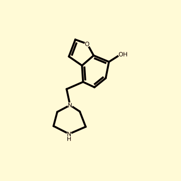 Oc1ccc(CN2CCNCC2)c2ccoc12